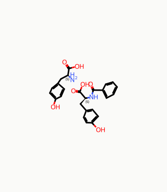 N[C@@H](Cc1ccc(O)cc1)C(=O)O.O=C(N[C@@H](Cc1ccc(O)cc1)C(=O)O)c1ccccc1